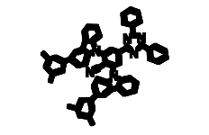 Cc1cc(C)cc(-c2ccc3c(c2)c2ccccc2n3-c2cc(-c3nc(-c4ccccc4)nc(-c4ccccc4)n3)cc(-n3c4ccccc4c4cc(-c5cc(C)cc(C)c5)ccc43)c2C#N)c1